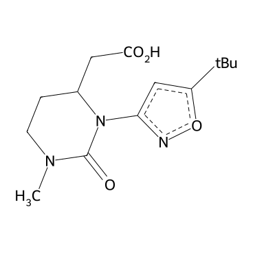 CN1CCC(CC(=O)O)N(c2cc(C(C)(C)C)on2)C1=O